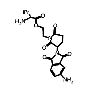 CC(C)[C@H](N)C(=O)OCCN1C(=O)CCC(N2C(=O)c3ccc(N)cc3C2=O)C1=O